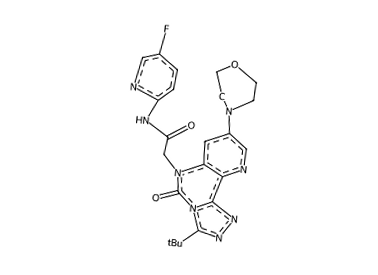 CC(C)(C)c1nnc2c3ncc(N4CCOCC4)cc3n(CC(=O)Nc3ccc(F)cn3)c(=O)n12